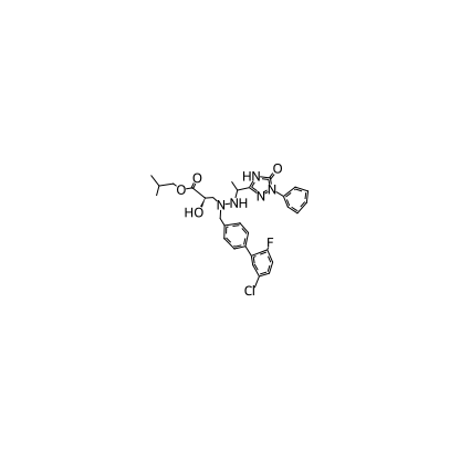 CC(C)COC(=O)[C@H](O)CN(Cc1ccc(-c2cc(Cl)ccc2F)cc1)NC(C)c1nn(-c2ccccc2)c(=O)[nH]1